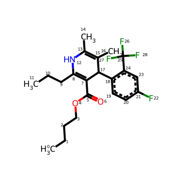 CCCCOC(=O)C1=C(CCC)NC(C)=C(C)C1c1ccc(F)cc1C(F)(F)F